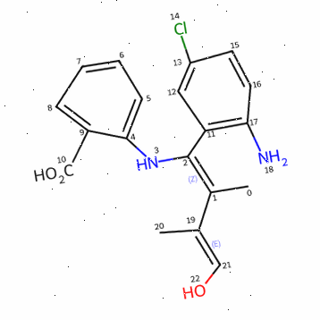 CC(=C(/Nc1ccccc1C(=O)O)c1cc(Cl)ccc1N)/C(C)=C/O